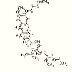 CCOC[C@@H](CNC(=O)[C@@H](CC(O)[C@@H](N)C[C@H](Cc1ccc(OC)c(OCCCOC)c1)C(C)C)C(C)C)OC